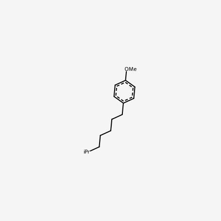 COc1ccc(CCCCCC(C)C)cc1